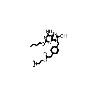 CCCCOc1nc(N)c2nc(O)n(Cc3ccc(CC(=O)OCCN(C)C)cc3)c2n1